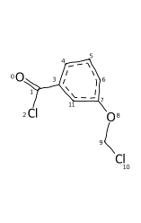 O=C(Cl)c1cccc(OCCl)c1